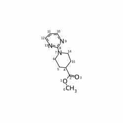 COC(=O)C1CCN(c2ncccn2)CC1